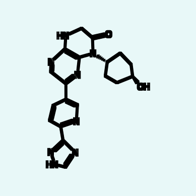 O=C1CNc2ncc(-c3ccc(-c4nc[nH]n4)nc3)nc2N1[C@H]1CC[C@H](O)CC1